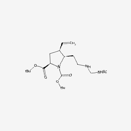 C=C[C@@H]1C[C@H](C(=O)OC(C)(C)C)N(C(=O)OC(C)(C)C)[C@@H]1CCNCNC(C)=O